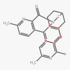 Cc1cnc(OC2CC3CCC2N(C(=O)c2nc(C)ccc2-c2ncccn2)C3)c(F)n1